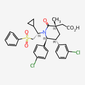 C[C@@]1(CC(=O)O)C[C@H](c2cccc(Cl)c2)[C@@H](c2ccc(Cl)cc2)N([C@H](CS(=O)(=O)c2ccccc2)C2CC2)C1=O